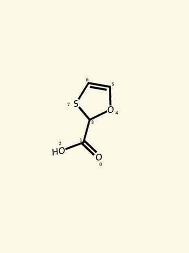 O=C(O)C1OC=CS1